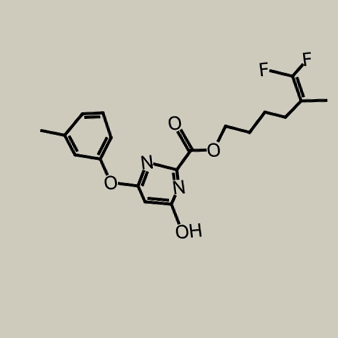 CC(CCCCOC(=O)c1nc(O)cc(Oc2cccc(C)c2)n1)=C(F)F